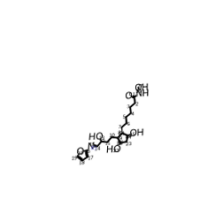 O=C(CCCCCC[C@@H]1C(CCC(O)/C=N/c2ccco2)[C@H](O)C[C@@H]1O)NO